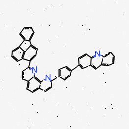 c1ccc2c(c1)-c1cccc3c(-c4ccc5ccc6ccc(-c7ccc(-c8ccc9nc%10ccccc%10cc9c8)cc7)nc6c5n4)ccc-2c13